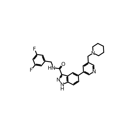 O=C(NCc1cc(F)cc(F)c1)c1n[nH]c2ccc(-c3cncc(CN4CCCCC4)c3)cc12